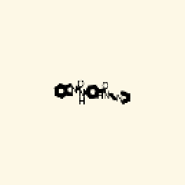 O=C(NCCn1cccc1)c1ccc(NC(=O)N2Cc3ccccc3C2)cc1